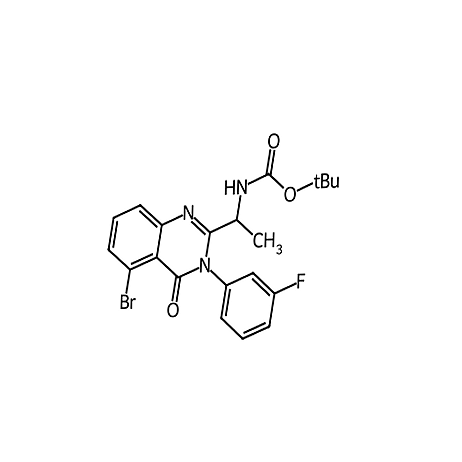 CC(NC(=O)OC(C)(C)C)c1nc2cccc(Br)c2c(=O)n1-c1cccc(F)c1